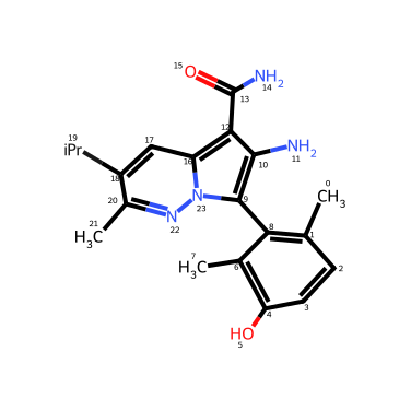 Cc1ccc(O)c(C)c1-c1c(N)c(C(N)=O)c2cc(C(C)C)c(C)nn12